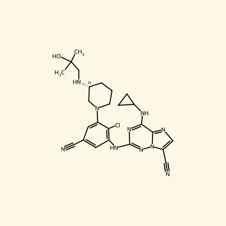 CC(C)(O)CN[C@@H]1CCCN(c2cc(C#N)cc(Nc3nc(NC4CC4)c4ncc(C#N)n4n3)c2Cl)C1